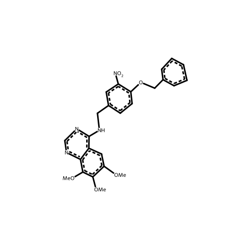 COc1cc2c(NCc3ccc(OCc4ccccc4)c([N+](=O)[O-])c3)ncnc2c(OC)c1OC